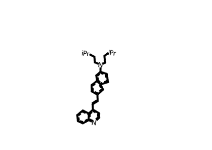 CC(C)CCN(CCC(C)C)c1ccc2cc(/C=C/c3ccnc4ccccc34)ccc2c1